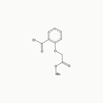 CCC(=O)c1ccccc1OCC(=O)OC(C)(C)C